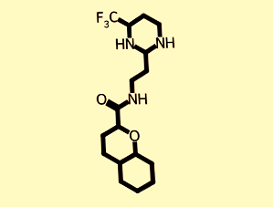 O=C(NCCC1NCCC(C(F)(F)F)N1)C1CCC2CCCCC2O1